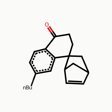 CCCCc1ccc2c(c1)C1(CCC2=O)CC2C=CC1C2